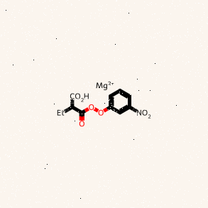 CCC(C(=O)O)C(=O)OOc1cccc([N+](=O)[O-])c1.[Mg+2]